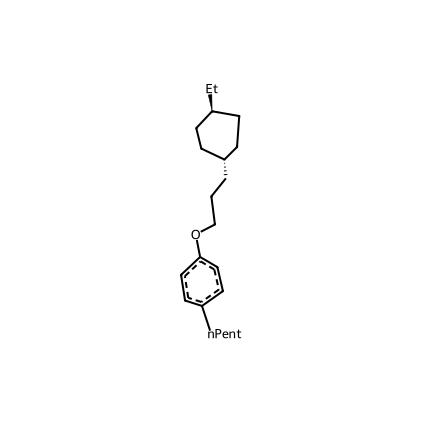 CCCCCc1ccc(OCCC[C@H]2CC[C@H](CC)CC2)cc1